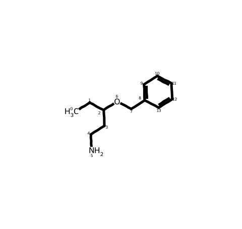 CCC(CCN)OCc1ccccc1